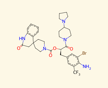 Nc1c(Br)cc(C[C@@H](OC(=O)N2CCC3(CC2)CC(=O)Nc2ccccc23)C(=O)N2CCC(N3CCCC3)CC2)cc1C(F)(F)F